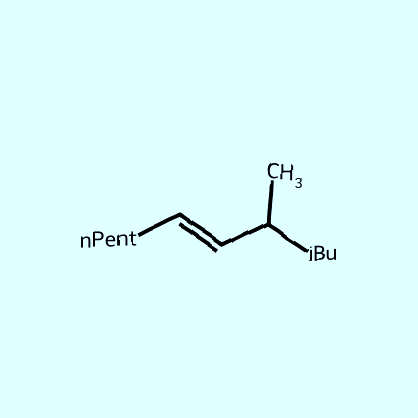 CCCCCC=CC(C)C(C)CC